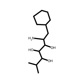 CC(C)C(O)C(O)C(O)C(N)CC1CCCCC1